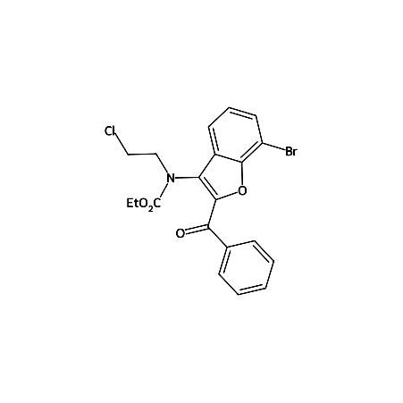 CCOC(=O)N(CCCl)c1c(C(=O)c2ccccc2)oc2c(Br)cccc12